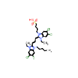 CCCCC[n+]1c(C=CC=C2N(CC)c3cc(Cl)c(Cl)cc3N2CCCCS(=O)(=O)O)n(CC)c2cc(Cl)c(Cl)cc21